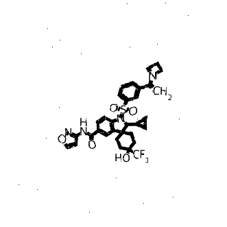 C=C(c1cccc(S(=O)(=O)N2c3ccc(C(=O)Nc4ccon4)cc3C3(CCC(O)(C(F)(F)F)CC3)C2C2CC2)c1)N1CCC1